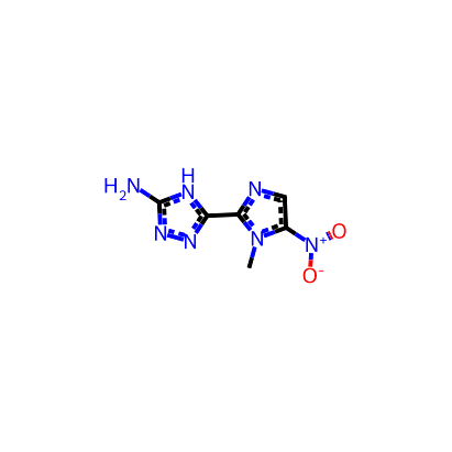 Cn1c([N+](=O)[O-])cnc1-c1nnc(N)[nH]1